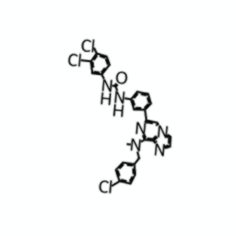 CN(Cc1ccc(Cl)cc1)c1nc(-c2cccc(NC(=O)Nc3ccc(Cl)c(Cl)c3)c2)cn2ccnc12